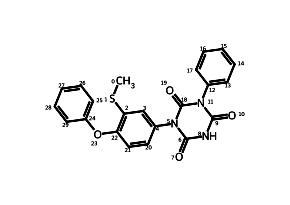 CSc1cc(-n2c(=O)[nH]c(=O)n(-c3ccccc3)c2=O)ccc1Oc1ccccc1